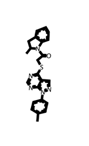 Cc1ccc(-n2ncc3c(SCC(=O)N4c5ccccc5CC4C)ncnc32)cc1